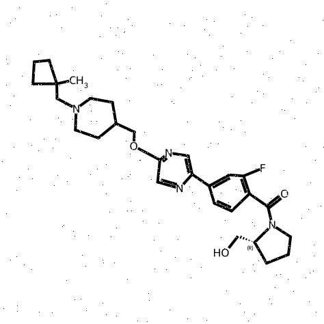 CC1(CN2CCC(COc3cnc(-c4ccc(C(=O)N5CCC[C@@H]5CO)c(F)c4)cn3)CC2)CCC1